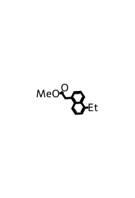 CCc1cccc2c(CC(=O)OC)cccc12